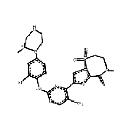 CCc1cc(N2CCNC[C@@H]2C)ccc1Nc1ncc(C(F)(F)F)c(-c2cc3c(s2)C(=S)N(C)CCS3(=O)=O)n1